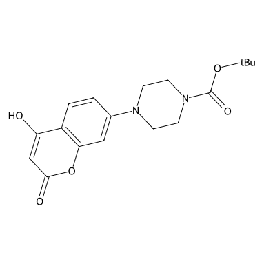 CC(C)(C)OC(=O)N1CCN(c2ccc3c(O)cc(=O)oc3c2)CC1